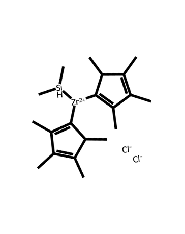 CC1=C(C)C(C)[C]([Zr+2]([C]2=C(C)C(C)=C(C)C2C)[SiH](C)C)=C1C.[Cl-].[Cl-]